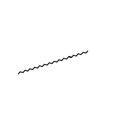 CCCCCCCC=CCCCCCCCCCCCCCCCCCCCCC